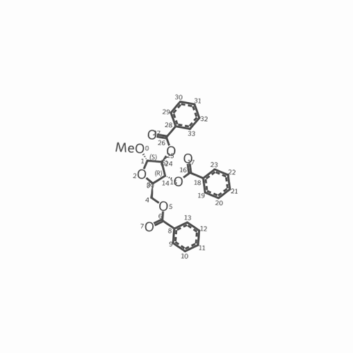 CO[C@H]1O[C@H](COC(=O)c2ccccc2)[C@@H](OC(=O)c2ccccc2)[C@@H]1OC(=O)c1ccccc1